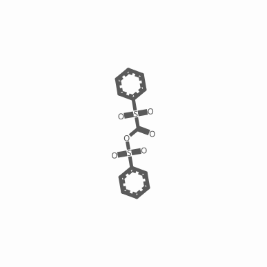 O=C(OS(=O)(=O)c1ccccc1)S(=O)(=O)c1ccccc1